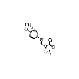 COc1ccc(N=CN(C)C(=O)Cl)cc1